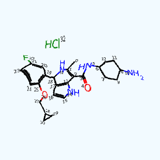 CC1=C(C(=O)NC2CCC(N)CC2)c2[nH]ccc2C(c2cc(F)ccc2OCC2CC2)N1.Cl